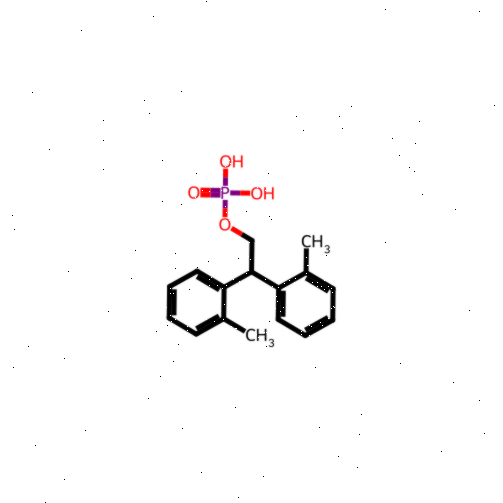 Cc1ccccc1C(COP(=O)(O)O)c1ccccc1C